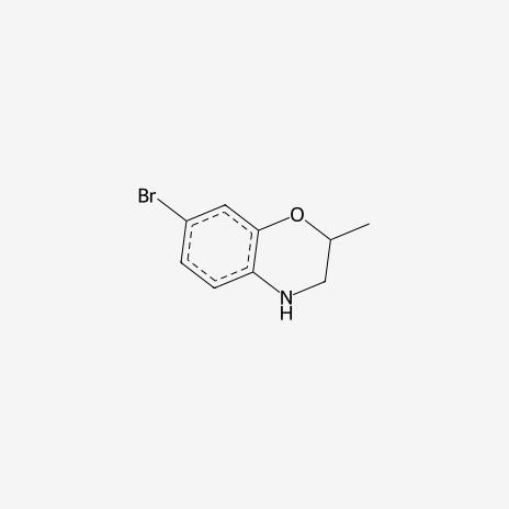 CC1CNc2ccc(Br)cc2O1